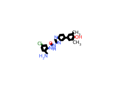 Cc1cc(-c2ccc3ncc(NC(=O)Nc4cc(Cl)ccc4CN)nc3c2)cc(C)c1O